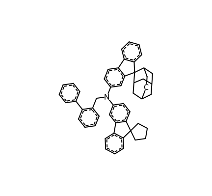 c1ccc(-c2ccccc2CN(c2ccc3c(c2)-c2ccccc2C32CCCC2)c2ccc3c(c2)C2(c4ccccc4-3)C3CCC4CC(C3)CC2C4)cc1